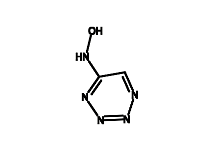 ONc1cnnnn1